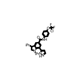 CC(C)C1CN(C(C)C)c2c(-c3ccn[nH]3)cc(C(=O)Nc3ccc(OC(F)(F)Cl)cc3)cc21